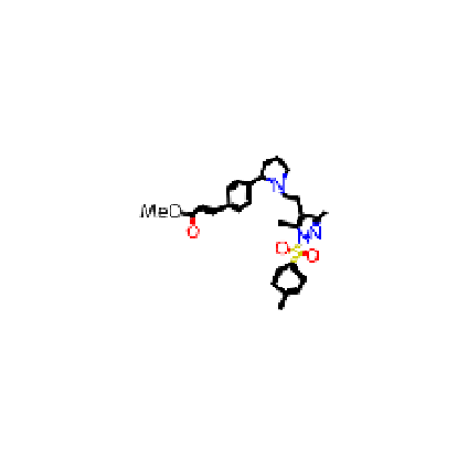 COC(=O)/C=C/c1ccc(C2CCCN2CCc2c(C)nn(S(=O)(=O)c3ccc(C)cc3)c2C)cc1